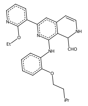 CCOc1ncccc1-c1cc2c(c(Nc3ccccc3OCCC(C)C)n1)C(C=O)NC=C2